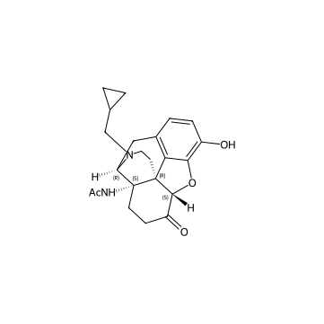 CC(=O)N[C@@]12CCC(=O)[C@H]3Oc4c(O)ccc5c4[C@@]31CCN(CC1CC1)[C@@H]2C5